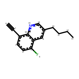 [C]#Cc1ccc(F)c2cc(CCCC)cnc12